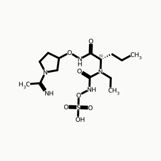 CCC[C@@H](C(=O)NOC1CCN(C(C)=N)C1)N(CC)C(=O)NOS(=O)(=O)O